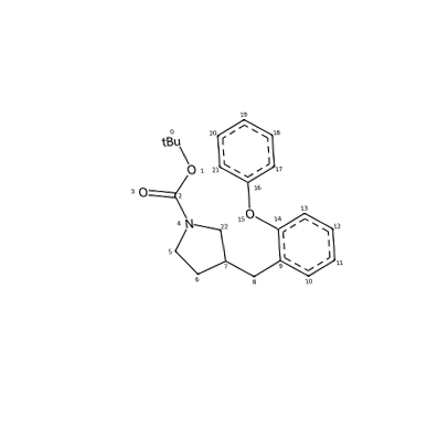 CC(C)(C)OC(=O)N1CCC(Cc2ccccc2Oc2ccccc2)C1